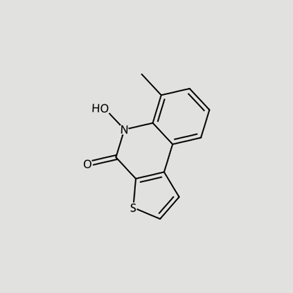 Cc1cccc2c3ccsc3c(=O)n(O)c12